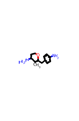 CC1C(N)CCOC1Cc1ccc(N)cc1